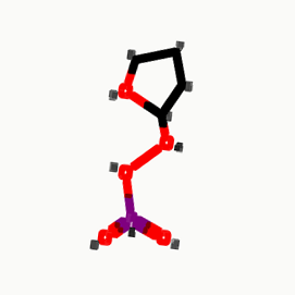 O=P(=O)OOC1CCCO1